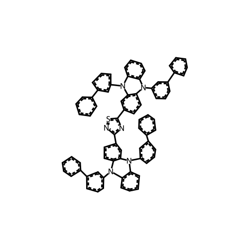 c1ccc(-c2cccc(N3c4ccccc4N(c4cccc(-c5ccccc5)c4)c4cc(-c5nsc(-c6ccc7c(c6)N(c6cccc(-c8ccccc8)c6)c6ccccc6N7c6cccc(-c7ccccc7)c6)n5)ccc43)c2)cc1